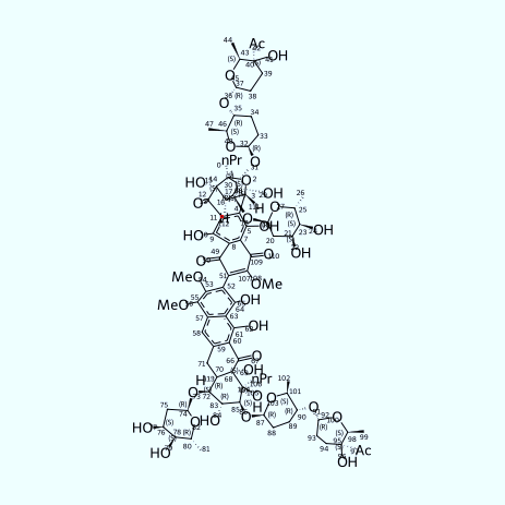 CCC[C@@]12O[C@@H]3c4c(O)c5c(c(O)c4C(=O)[C@]1(O)[C@H]3[C@H](O[C@@H]1C[C@H](O)[C@H](O)[C@@H](C)O1)[C@@H](O)[C@@H]2O[C@@H]1CC[C@@H](O[C@H]2CC[C@@](O)(C(C)=O)[C@H](C)O2)[C@H](C)O1)C(=O)C(c1c(OC)c(OC)c2cc3c(c(O)c2c1O)C(=O)[C@]1(O)[C@H](C3)[C@H](O[C@@H]2C[C@H](O)[C@H](O)[C@@H](C)O2)[C@@H](O)[C@H](O[C@@H]2CC[C@@H](O[C@H]3CC[C@@](O)(C(C)=O)[C@H](C)O3)[C@H](C)O2)[C@@]1(O)CCC)=C(OC)C5=O